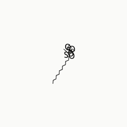 CCCCCCCCCCCC(=O)SC(C)[Si](OC)(OC)OC